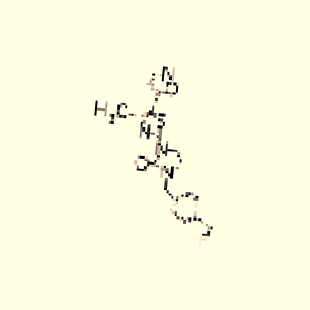 Cc1nc(N2CCN(Cc3ccc(CF)cc3)C2=O)sc1-c1ccno1